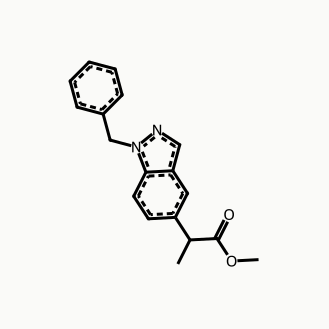 COC(=O)C(C)c1ccc2c(cnn2Cc2ccccc2)c1